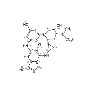 CN(C(=O)O)C1CCN(c2cc(C#N)cc(Nc3nc(NC4CC4)c4ncc(C#N)n4n3)c2Cl)CC1O